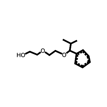 CC(C)C(OCCOCCO)c1ccccc1